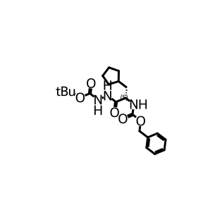 CC(C)(C)OC(=O)NNC(=O)[C@H](CC1CCCC1)NC(=O)OCc1ccccc1